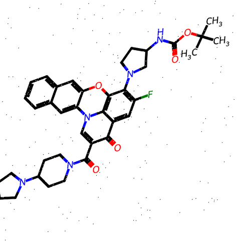 CC(C)(C)OC(=O)NC1CCN(c2c(F)cc3c(=O)c(C(=O)N4CCC(N5CCCC5)CC4)cn4c3c2Oc2cc3ccccc3cc2-4)C1